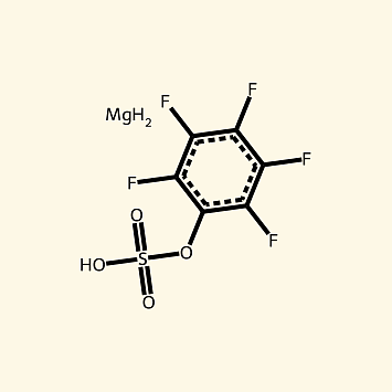 O=S(=O)(O)Oc1c(F)c(F)c(F)c(F)c1F.[MgH2]